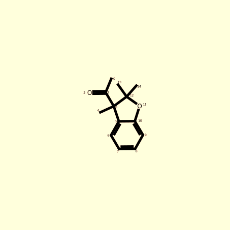 CC(=O)C1(C)c2ccccc2OC1(C)C